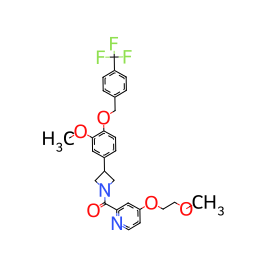 COCCOc1ccnc(C(=O)N2CC(c3ccc(OCc4ccc(C(F)(F)F)cc4)c(OC)c3)C2)c1